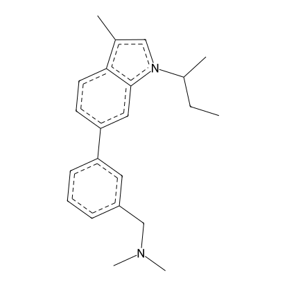 CCC(C)n1cc(C)c2ccc(-c3cccc(CN(C)C)c3)cc21